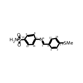 CSc1ccc(/C=N/c2ccc(S(N)(=O)=O)cc2)cc1